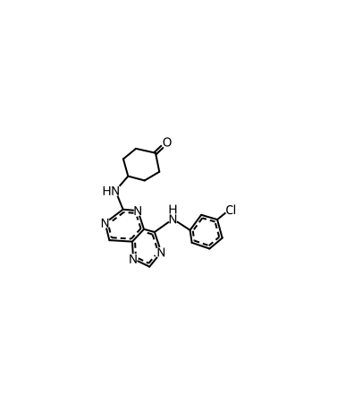 O=C1CCC(Nc2ncc3ncnc(Nc4cccc(Cl)c4)c3n2)CC1